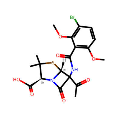 COc1ccc(Br)c(OC)c1C(=O)NC1(C(C)=O)C(=O)N2[C@@H](C(=O)O)C(C)(C)S[C@@H]21